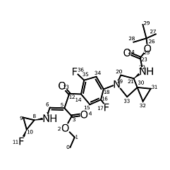 CCOC(=O)C(=CN[C@@H]1C[C@@H]1F)C(=O)c1cc(F)c(N2C[C@@H](NC(=O)OC(C)(C)C)C3(CC3)C2)cc1F